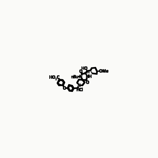 CCCCN1C(=O)[C@@H]([C@H](O)[C@H]2CC[C@H](OC)CC2)NC(=O)C12CCN(Cc1ccc(Oc3ccc(C(=O)O)cc3)cc1)CC2.Cl